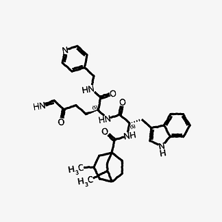 CC1CC2CCC(C(=O)N[C@@H](Cc3c[nH]c4ccccc34)C(=O)N[C@@H](CCC(=O)C=N)C(=O)NCc3ccncc3)(C1)CC2C